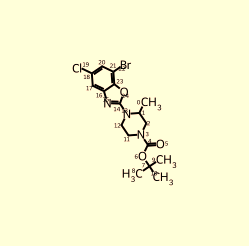 CC1CN(C(=O)OC(C)(C)C)CCN1c1nc2cc(Cl)cc(Br)c2o1